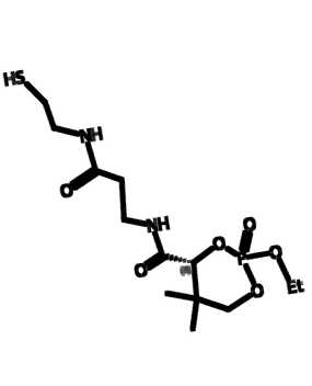 CCOP1(=O)OCC(C)(C)[C@H](C(=O)NCCC(=O)NCCS)O1